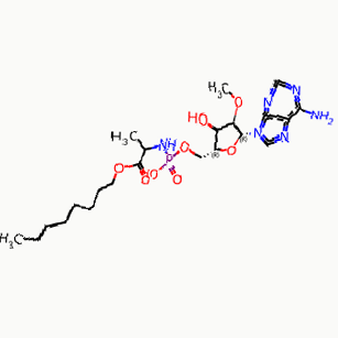 CCCCCCCCOC(=O)C(C)NP(=O)(O)OC[C@H]1O[C@@H](n2cnc3c(N)ncnc32)C(OC)C1O